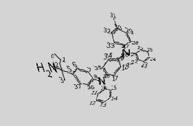 CCC(C)(N)c1ccc(N(c2ccccc2)c2ccc(N(c3ccccc3)c3ccc(C)cc3)cc2)cc1